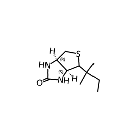 CCC(C)(C)C1SC[C@@H]2NC(=O)N[C@H]12